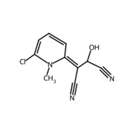 CN1C(Cl)=CC=CC1=C(C#N)C(O)C#N